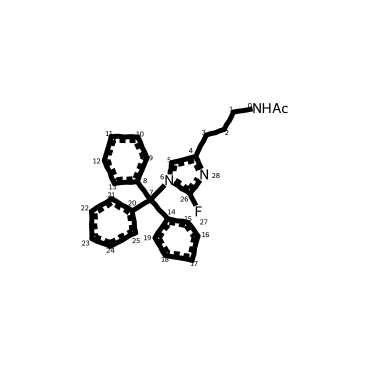 CC(=O)NCCCc1cn(C(c2ccccc2)(c2ccccc2)c2ccccc2)c(F)n1